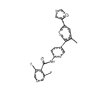 Cc1cc(-c2cnco2)sc1-c1ccc(NC(=O)c2c(F)cncc2F)nc1